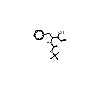 C=CC(O)C(Cc1ccccc1)NC(=O)OC(C)(C)C